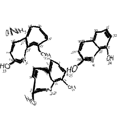 N.Oc1ccc2cccc(O)c2n1.Oc1ccc2cccc(O)c2n1.Oc1ccc2cccc(O)c2n1